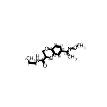 C/C=C\NC(=O)C1COc2ccc(/C(C)=N/OC)cc2O1